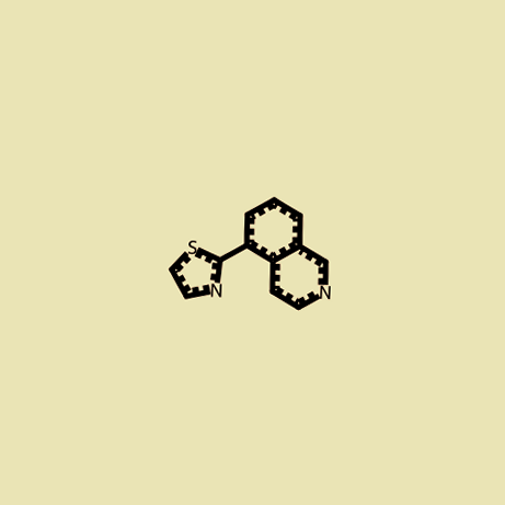 c1cc(-c2nccs2)c2ccncc2c1